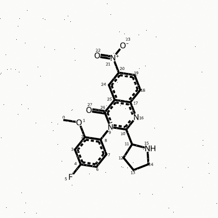 COc1cc(F)ccc1-n1c(C2CCCN2)nc2ccc([N+](=O)[O-])cc2c1=O